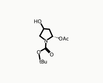 CC(=O)O[C@H]1CC(O)CN1C(=O)OC(C)(C)C